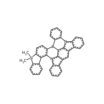 C[Si]1(C)c2ccccc2-c2c1ccc1c2-n2c3ccccc3c3cc4c5ccccc5n5c4c(c32)B1c1ccccc1-5